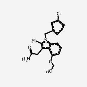 CCc1c(CC(N)=O)c2c(OCO)cccc2n1Cc1cccc(Cl)c1